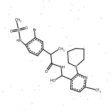 CC(C(=O)NC(O)c1ccc(C(F)(F)F)nc1N1CCCCC1)c1ccc(NS(C)(=O)=O)c(Br)c1